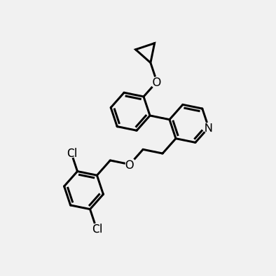 Clc1ccc(Cl)c(COCCc2cnccc2-c2ccccc2OC2CC2)c1